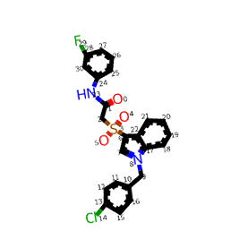 O=C(CS(=O)(=O)c1cn(Cc2ccc(Cl)cc2)c2ccccc12)Nc1cccc(F)c1